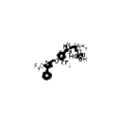 C[C@](N)(COP(=O)(O)O)c1nnc(-c2ccc(OCc3cc(-c4ccccc4)c(C(F)(F)F)s3)c(C(F)(F)F)c2)s1